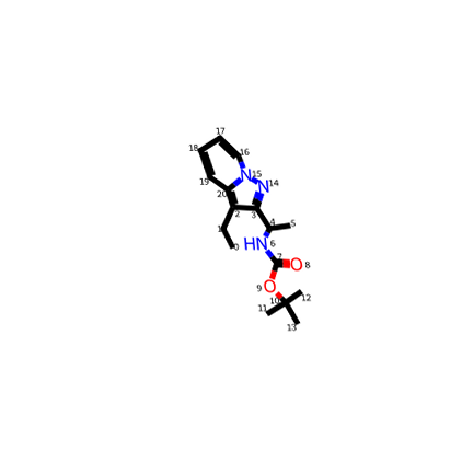 CCc1c(C(C)NC(=O)OC(C)(C)C)nn2ccccc12